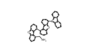 NCc1cccc2oc3cccc(-c4cccc5sc6c(-n7c8ccccc8c8ccccc87)cccc6c45)c3c12